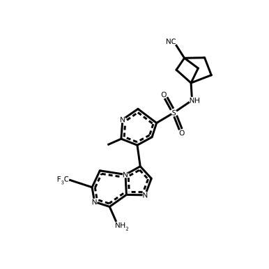 Cc1ncc(S(=O)(=O)NC23CCC(C#N)(C2)C3)cc1-c1cnc2c(N)nc(C(F)(F)F)cn12